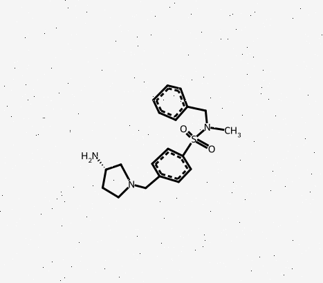 CN(Cc1ccccc1)S(=O)(=O)c1ccc(CN2CC[C@H](N)C2)cc1